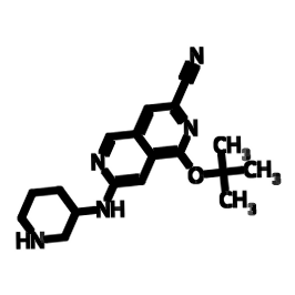 CC(C)(C)Oc1nc(C#N)cc2cnc(NC3CCCNC3)cc12